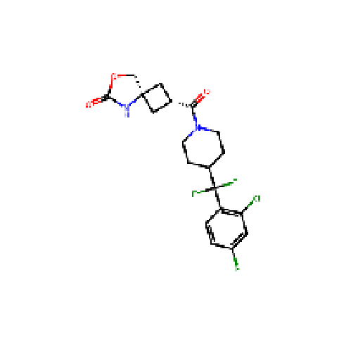 O=C1N[C@]2(CO1)C[C@@H](C(=O)N1CCC(C(F)(F)c3ccc(F)cc3Cl)CC1)C2